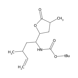 C=CC(C)CC(NC(=O)OC(C)(C)C)C1CC(C)C(=O)O1